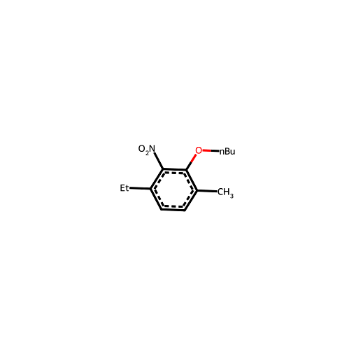 CCCCOc1c(C)ccc(CC)c1[N+](=O)[O-]